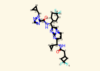 O=C(CC1CC(F)(F)C1)N[C@H](c1ccn2cc([C@@H](NC(=O)c3ncnn3CC3CC3)C3CCC(F)(F)CC3)nc2n1)C1CC1